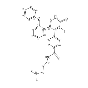 Cc1c(-c2ccc(C(=O)NCCCN(C)C)cc2)c(-c2ccccc2Oc2ccccc2)n[nH]c1=O